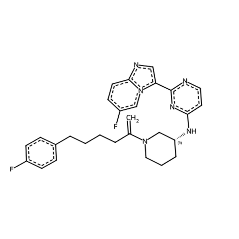 C=C(CCCCc1ccc(F)cc1)N1CCC[C@@H](Nc2ccnc(-c3cnc4ccc(F)cn34)n2)C1